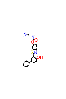 CN(C)CCN(C)C(=O)Oc1ccc2nc(-c3cc(-c4ccccc4)ccc3O)sc2c1